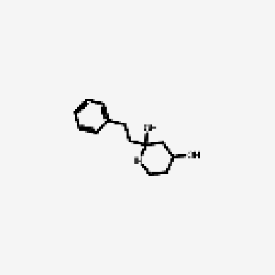 OC1CCNC(O)(CCc2ccccc2)C1